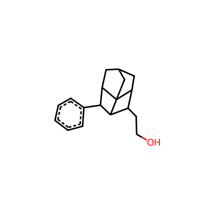 OCCC1C2CC3CC(C2)C(c2ccccc2)C1C3